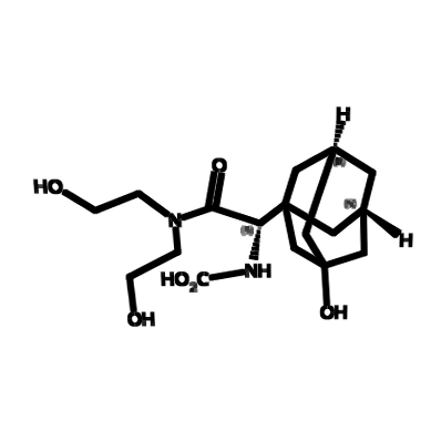 O=C(O)N[C@H](C(=O)N(CCO)CCO)C12C[C@@H]3C[C@@H](CC(O)(C3)C1)C2